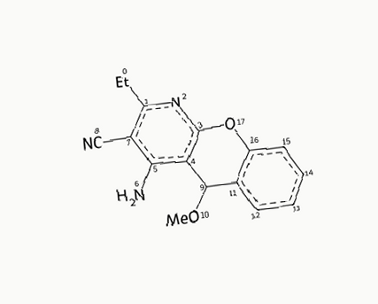 CCc1nc2c(c(N)c1C#N)C(OC)c1ccccc1O2